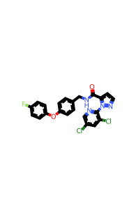 O=C(NCc1ccc(Oc2ccc(F)cc2)cc1)c1ccnn1-c1ncc(Cl)cc1Cl